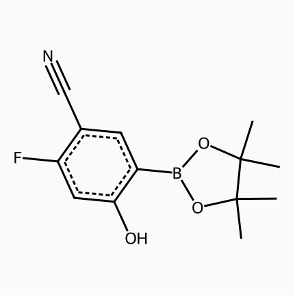 CC1(C)OB(c2cc(C#N)c(F)cc2O)OC1(C)C